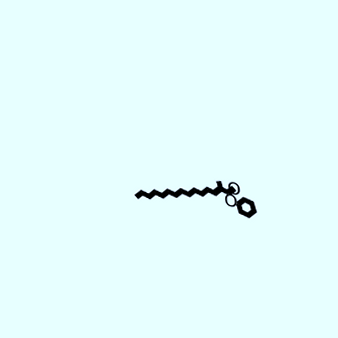 CCCCCCCCCCCCC=C(C)C(=O)OC1CCCCC1